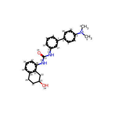 CN(C)c1ccc(-c2cccc(NC(=O)Nc3cccc4c3CC(O)CC4)c2)cc1